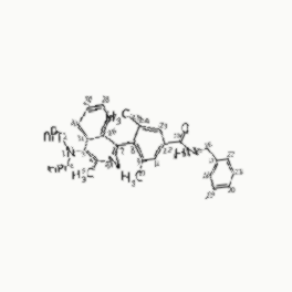 CCCN(CCC)c1c(C)nc(-c2c(C)cc(C(=O)NCc3ccccc3)cc2C)c2ccccc12